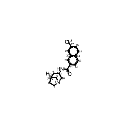 O=C(N[C@@H]1C[C@H]2CCN(C2)C1)c1ccc2ccc(Cl)cc2c1